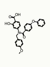 COc1ccc(CN(C(=O)c2ccc(Oc3ccccc3)cc2)c2ccc(C(=O)O)c(O)c2)cc1